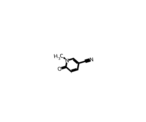 Cn1cc(C#N)c[c]c1=O